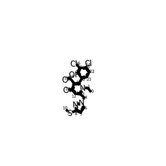 CCn1c(Cn2ccc(SC)n2)cc(=O)c(C(=O)O)c1-c1ccc(Cl)c(Cl)c1